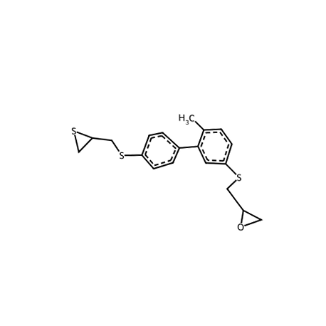 Cc1ccc(SCC2CO2)cc1-c1ccc(SCC2CS2)cc1